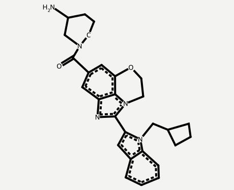 NC1CCCN(C(=O)c2cc3c4c(c2)nc(-c2cc5ccccc5n2CC2CCC2)n4CCO3)C1